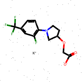 O=C([O-])COC1CCN(c2ccc(C(F)(F)F)cc2F)C1.[K+]